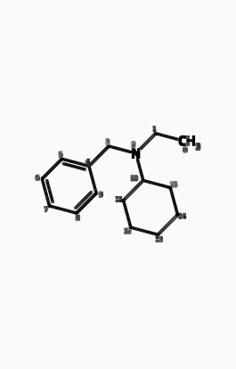 CCN(Cc1ccccc1)C1CCCCC1